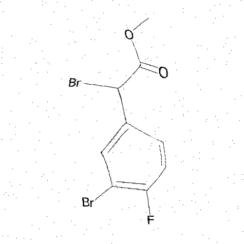 COC(=O)C(Br)c1ccc(F)c(Br)c1